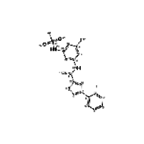 Cc1cccnc1-c1csc(C(=O)Nc2cc(F)cc(NS(C)(=O)=O)c2)c1